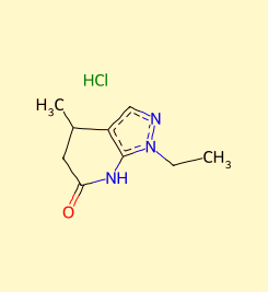 CCn1ncc2c1NC(=O)CC2C.Cl